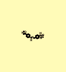 CS(=O)(=O)Nc1ccc(/C=N/Nc2ccc(-c3cnco3)cc2)cc1